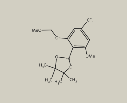 COCOc1cc(C(F)(F)F)cc(OC)c1B1OC(C)(C)C(C)(C)O1